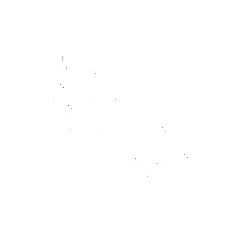 CCN1C(=O)/C(=N/C2=CC3=C(c4sc5c(sc6cc(/N=C7\SC(=C(C#N)C#N)N(CC)C7=O)sc65)c4C3(C(=O)OCc3ccccc3)C(=O)OCc3ccccc3)C2(C(=O)OCc2ccccc2)C(=O)OCc2ccccc2)SC1=C(C#N)C#N